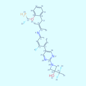 C\C=C(/C(F)=C\C(C)=N\C(C)=C(/C)Cc1ccccc1O[C@H](F)P)c1cnc(N2CC(O)(C(C)(F)F)C2)nc1